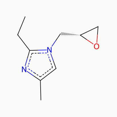 CCc1nc(C)cn1C[C@@H]1CO1